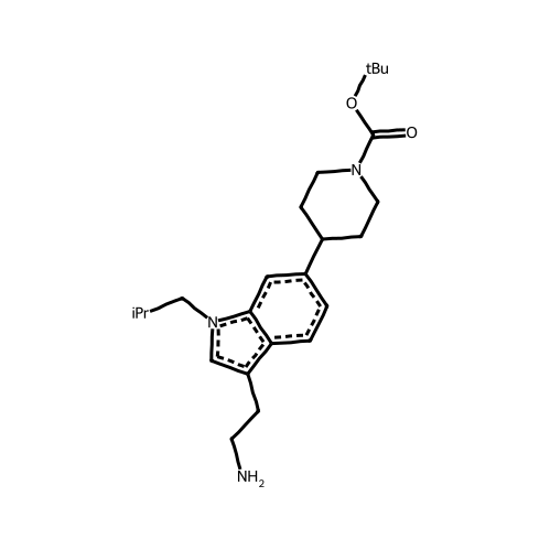 CC(C)Cn1cc(CCN)c2ccc(C3CCN(C(=O)OC(C)(C)C)CC3)cc21